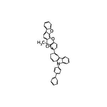 CC1(C)c2cc(C3=Cc4c(n(-c5ccc(-c6ccccc6)cc5)c5ccccc45)C=CC3)ccc2Oc2c1ccc1c2oc2ccccc21